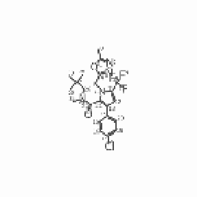 Cc1nnc(Cn2c(C(F)(F)F)cc(-c3ccc(Cl)cc3)c2C(=O)N(C)CC(C)(C)C)o1